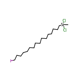 C[Si](Cl)(Cl)CCCCCCCCCCCCCCCCI